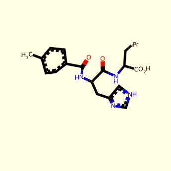 Cc1ccc(C(=O)NC(Cc2c[nH]cn2)C(=O)NC(CC(C)C)C(=O)O)cc1